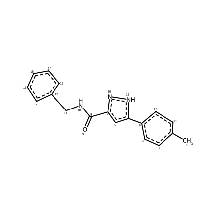 Cc1ccc(-c2cc(C(=O)NCc3ccccc3)n[nH]2)cc1